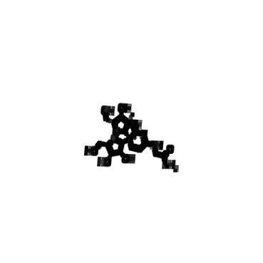 C[C@@]1(O)[C@H](O)[C@@H](CO)O[C@H]1[N+]1([C@@H]2O[C@H](CO)[C@@H](O)[C@H]2O)C=CC(NCC(N)=O)=NC1=O